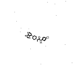 CC(C(=O)Nc1ccc(Cl)cc1)[C@H]1CC[C@H](c2ccnc3c2ncn3C)CC1